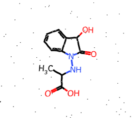 CC(NN1C(=O)C(O)c2ccccc21)C(=O)O